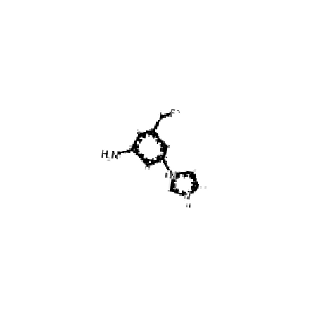 Nc1cc(CF)cc(-n2ccnc2)c1